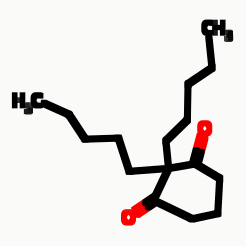 CCCCCC1(CCCCC)C(=O)CCCC1=O